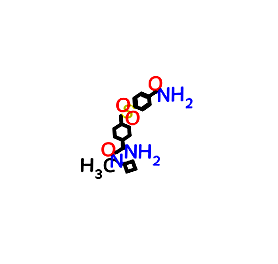 CN(C(=O)[C@@H](N)C1CCC(CS(=O)(=O)c2ccc(C(N)=O)cc2)CC1)C1CCC1